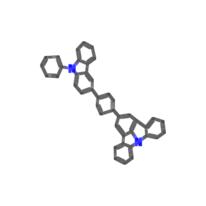 c1ccc(-n2c3ccccc3c3cc(-c4ccc(-c5cc6c7ccccc7n7c8ccccc8c(c5)c67)cc4)ccc32)cc1